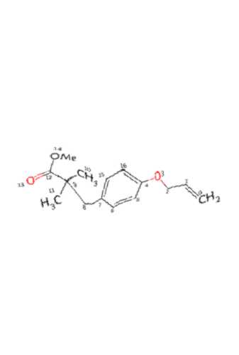 C=CCOc1ccc(CC(C)(C)C(=O)OC)cc1